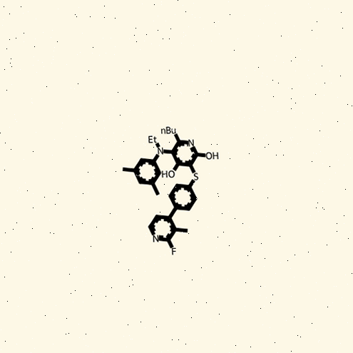 CCCCc1nc(O)c(Sc2ccc(-c3ccnc(F)c3C)cc2)c(O)c1N(CC)c1cc(C)cc(C)c1